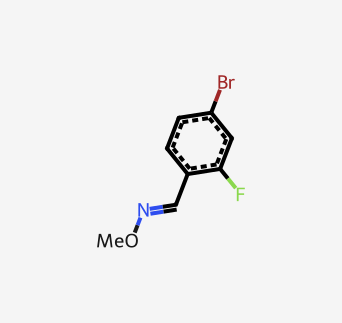 CO/N=C/c1ccc(Br)cc1F